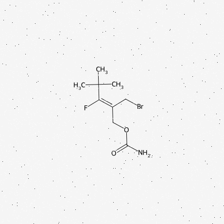 CC(C)(C)/C(F)=C(\CBr)COC(N)=O